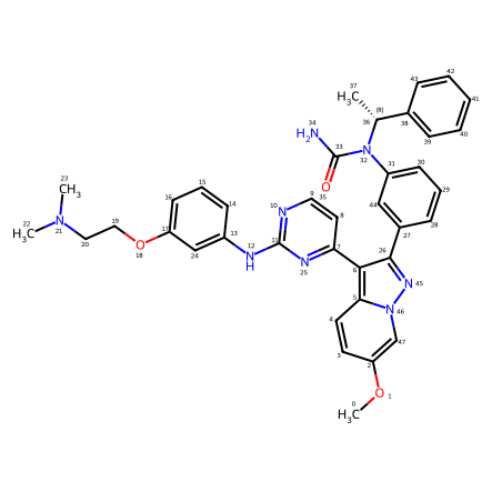 COc1ccc2c(-c3ccnc(Nc4cccc(OCCN(C)C)c4)n3)c(-c3cccc(N(C(N)=O)[C@H](C)c4ccccc4)c3)nn2c1